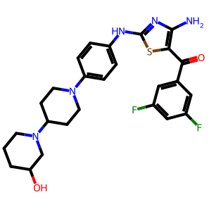 Nc1nc(Nc2ccc(N3CCC(N4CCCC(O)C4)CC3)cc2)sc1C(=O)c1cc(F)cc(F)c1